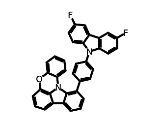 Fc1ccc2c(c1)c1cc(F)ccc1n2-c1ccc(-c2cccc3c4cccc5c4n(c23)-c2ccccc2O5)cc1